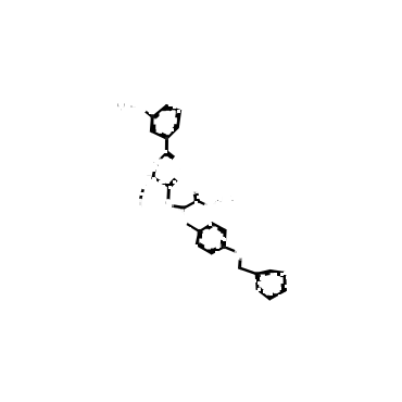 COc1cccc(C(=O)N[C@@H](CC(C)C)C(=O)N[C@@H](Cc2ccc(OCc3ccccc3)cc2)C(=O)OC(C)(C)C)c1